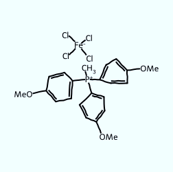 COc1ccc([P+](C)(c2ccc(OC)cc2)c2ccc(OC)cc2)cc1.[Cl][Fe-]([Cl])([Cl])[Cl]